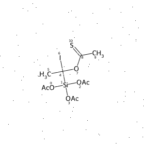 CC(=O)O[Si](OC(C)=O)(OC(C)=O)C(C)(I)OC(C)=S